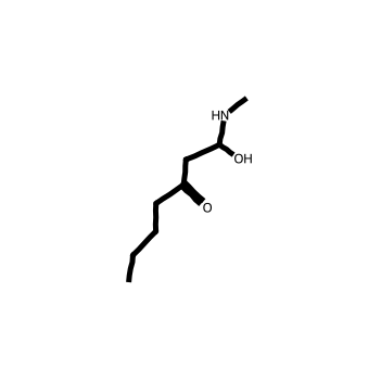 CCCCC(=O)CC(O)NC